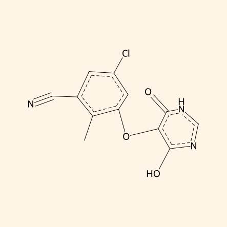 Cc1c(C#N)cc(Cl)cc1Oc1c(O)nc[nH]c1=O